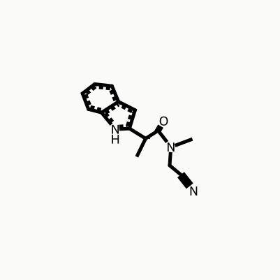 C[C](C(=O)N(C)CC#N)c1cc2ccccc2[nH]1